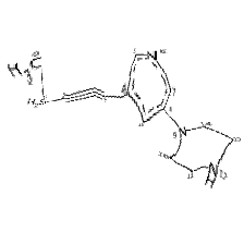 C[SiH2]C#Cc1cncc(N2CCNCC2)c1